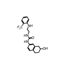 O=C(NCCNc1ccccc1C(F)(F)F)Nc1ccc2c(c1)CC(O)CC2